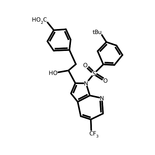 CC(C)(C)c1cccc(S(=O)(=O)n2c(C(O)Cc3ccc(C(=O)O)cc3)cc3cc(C(F)(F)F)cnc32)c1